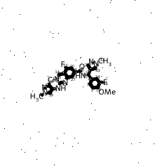 COc1ccc([C@H](NC(=O)c2cc(F)c3cnc(Nc4cn(C)nc4C)nc3c2)c2cnn(C)c2)cc1F